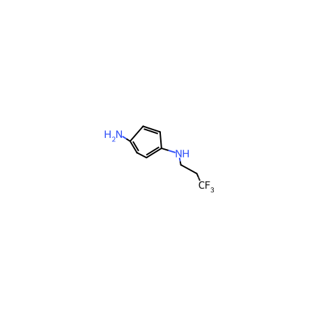 Nc1ccc(NCCC(F)(F)F)cc1